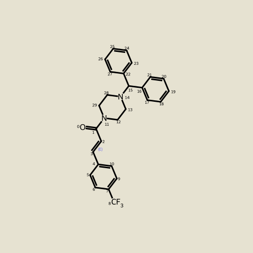 O=C(/C=C/c1ccc(C(F)(F)F)cc1)N1CCN(C(c2ccccc2)c2ccccc2)CC1